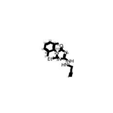 C#CCNNc1nc(CC)n(-c2c(C)cccc2C)c(=O)n1